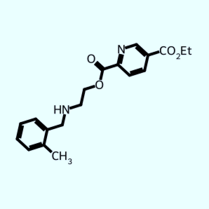 CCOC(=O)c1ccc(C(=O)OCCNCc2ccccc2C)nc1